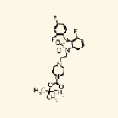 CC(C)(C)OC(=O)N1CCN(CCN2c3cccc(F)c3N(c3ccc(F)cc3F)S2(=O)=O)CC1